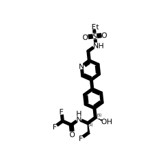 CCS(=O)(=O)NCc1ccc(-c2ccc([C@H](O)[C@@H](CF)NC(=O)C(F)F)cc2)cn1